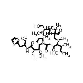 CC[C@H](C)[C@@H]([C@@H](CC(=O)N1CCC[C@H]1[C@H](OC)[C@@H](C)C(=O)NC(CO)Cc1nccs1)OC)N(C)CC(C=O)(NC(=O)[C@H](CO)N(C)C)C(C)C